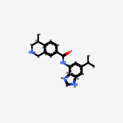 CC(C)c1cc(NC(=O)c2ccc3c(c2)CNCC3C)c2nc[nH]c2c1